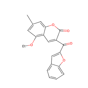 CCOc1cc(C)cc2oc(=O)c(C(=O)c3cc4ccccc4o3)cc12